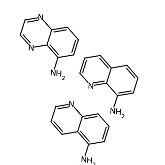 Nc1cccc2cccnc12.Nc1cccc2ncccc12.Nc1cccc2nccnc12